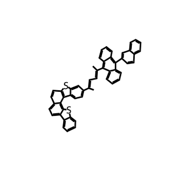 C/C(=C\C=C(/C)c1c2ccccc2c(-c2ccc3ccccc3c2)c2ccccc12)c1ccc2c(c1)sc1ccc3ccc4c5ccccc5sc4c3c12